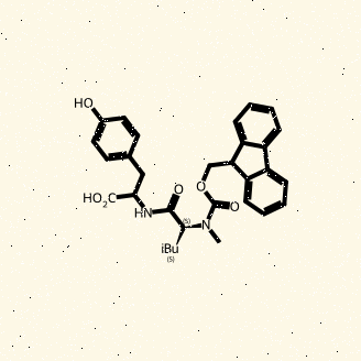 CC[C@H](C)[C@@H](C(=O)NC(Cc1ccc(O)cc1)C(=O)O)N(C)C(=O)OCC1c2ccccc2-c2ccccc21